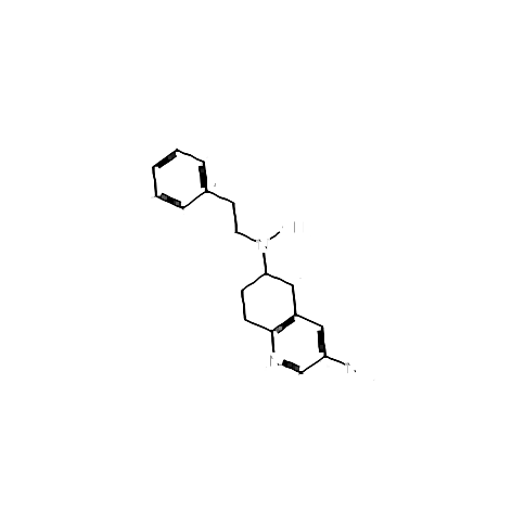 CN(CCc1ccccc1)C1CCc2ncc(N)cc2C1